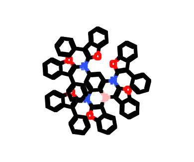 c1ccc(-c2c(N(c3cc4c5c(c3)N(c3oc6ccccc6c3-c3ccccc3)c3oc6ccccc6c3B5c3c(oc5ccccc35)N4c3oc4ccccc4c3-c3ccccc3)c3oc4ccccc4c3-c3ccccc3)oc3ccccc23)cc1